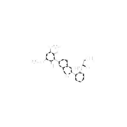 C=CC(=O)Nc1ccccc1-c1cc2ccc(-c3c(Cl)c(OC)cc(OC)c3Cl)cc2cn1